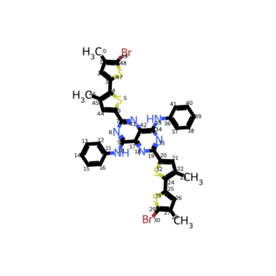 Cc1cc(-c2sc(-c3nc(Nc4ccccc4)c4nc(-c5cc(C)c(-c6cc(C)c(Br)s6)s5)nc(Nc5ccccc5)c4n3)cc2C)sc1Br